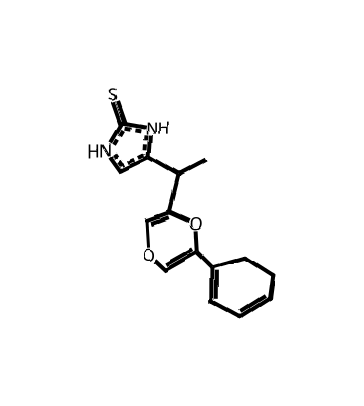 CC(C1=COC=C(C2=CC=CCC2)O1)c1c[nH]c(=S)[nH]1